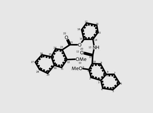 COc1cc2ccccc2cc1C(=O)Nc1ccccc1OC(=O)c1cc2ccccc2cc1OC